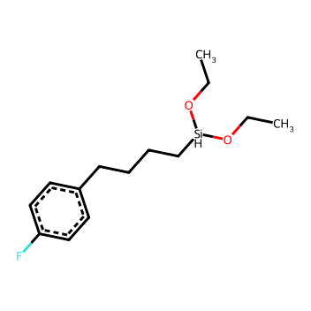 CCO[SiH](CCCCc1ccc(F)cc1)OCC